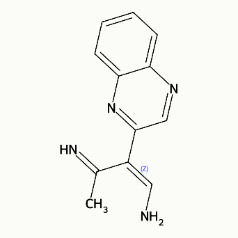 CC(=N)/C(=C\N)c1cnc2ccccc2n1